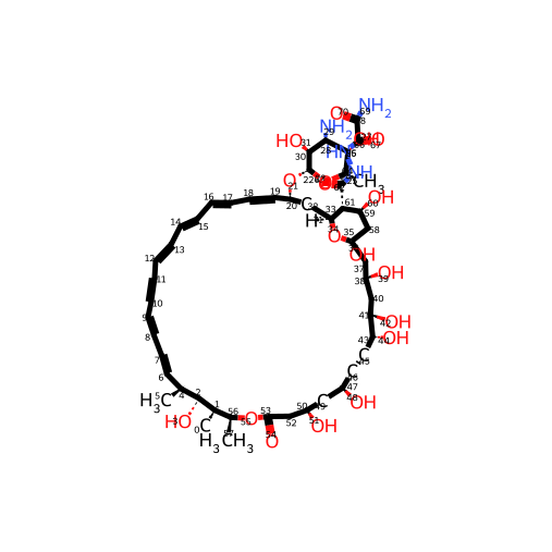 C[C@@H]1[C@H](O)[C@@H](C)/C=C/C=C/C=C/C=C/C=C/C=C/C=C/[C@H](O[C@H]2O[C@@H](C)[C@@H](O)[C@H](N)[C@@H]2O)C[C@@H]2O[C@](O)(C[C@@H](O)C[C@@H](O)[C@H](O)CC[C@@H](O)C[C@@H](O)CC(=O)O[C@H]1C)C[C@H](O)[C@H]2C(=O)NNC(=O)C(N)=O